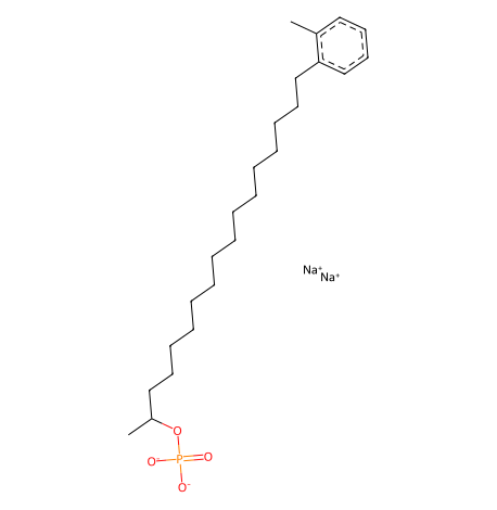 Cc1ccccc1CCCCCCCCCCCCCCCC(C)OP(=O)([O-])[O-].[Na+].[Na+]